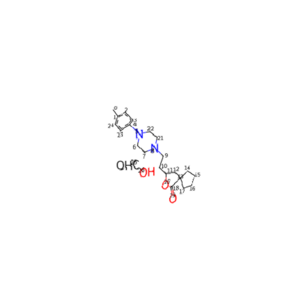 Cc1ccc(N2CCN(CCC3CC4(CCCC4)C(=O)O3)CC2)cc1.O=CO